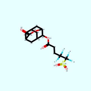 O=C(CCC(F)(F)C(F)(F)[SH](=O)=O)OC1C2CC3CC(C2)C(=O)OC1C3